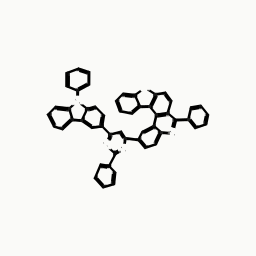 c1ccc(-c2nc(-c3ccc4nc(-c5ccccc5)c5ccc6sc7ccccc7c6c5c4c3)cc(-c3ccc4c(c3)c3ccccc3n4-c3ccccc3)n2)cc1